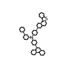 c1ccc(-c2cccc(N(c3ccc(-c4ccc5c(ccc6sc7ccccc7c65)c4)cc3)c3ccc(-c4cc5ccccc5c5ccccc45)cc3)c2)cc1